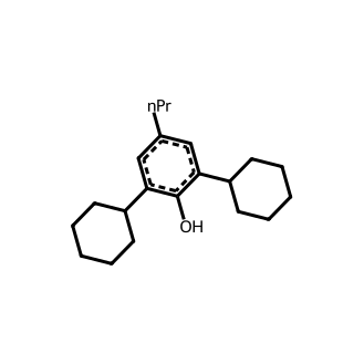 CCCc1cc(C2CCCCC2)c(O)c(C2CCCCC2)c1